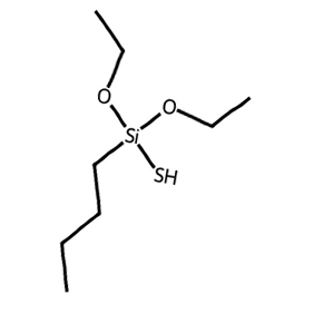 CCCC[Si](S)(OCC)OCC